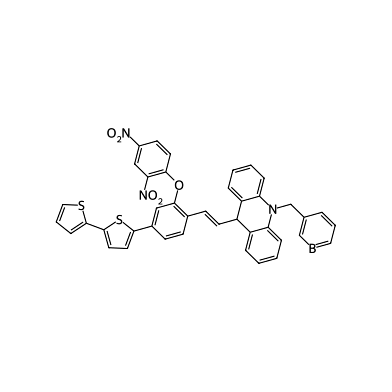 O=[N+]([O-])c1ccc(Oc2cc(-c3ccc(-c4cccs4)s3)ccc2C=CC2c3ccccc3N(Cc3cbccc3)c3ccccc32)c([N+](=O)[O-])c1